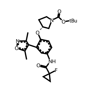 Cc1noc(C)c1-c1cc(NC(=O)C2(F)CC2)ccc1O[C@@H]1CCN(C(=O)OC(C)(C)C)C1